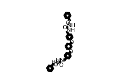 O=C(NCc1ccc(OC2CCCC(Oc3ccc(CNC(=O)NOCc4ccccc4)cc3)C2)cc1)NOCc1ccccc1